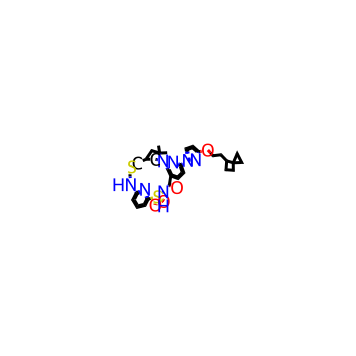 CC1(C)CC2CSCNc3cccc(n3)S(=O)(=O)NC(=O)c3ccc(-n4ccc(OCCC5CCC56CC6)n4)nc3N1C2